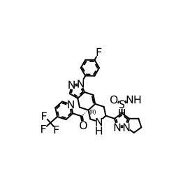 N=[SH](=O)c1c(C2CC3=Cc4c(cnn4-c4ccc(F)cc4)C[C@]3(C(=O)c3cc(C(F)(F)F)ccn3)CN2)nn2c1CCC2